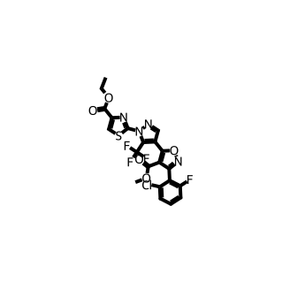 CCOC(=O)c1csc(-n2ncc(-c3onc(-c4c(F)cccc4Cl)c3C(=O)OC)c2C(F)(F)F)n1